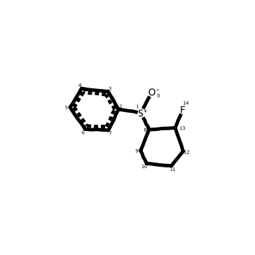 [O-][S+](c1ccccc1)C1CCCCC1F